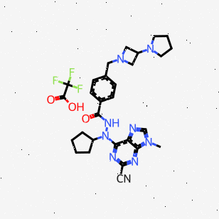 Cn1cnc2c(N(NC(=O)c3ccc(CN4CC(N5CCCC5)C4)cc3)C3CCCC3)nc(C#N)nc21.O=C(O)C(F)(F)F